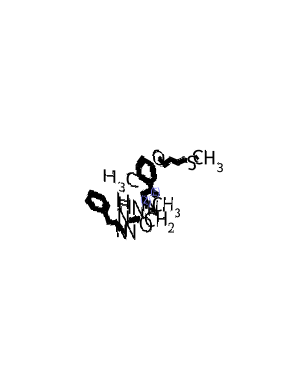 C=N/C(=C\C(=C/C)c1cc(OCCCCSC)ccc1C)NC(=O)c1nnc(Cc2ccccc2)[nH]1